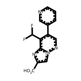 O=C(O)c1cn2ncc(-c3cccnc3)c(C(F)F)c2n1